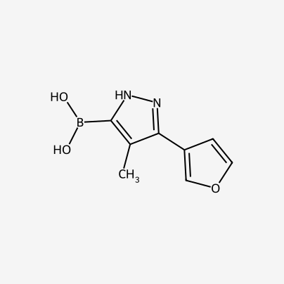 Cc1c(-c2ccoc2)n[nH]c1B(O)O